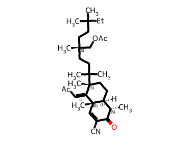 CCC(C)(C)CC[C@@](C)(CCC(C)(C)[C@]1(C)CC[C@H]2[C@H](C)C(=O)C(C#N)=C[C@]2(C)/C1=C/C(C)=O)COC(C)=O